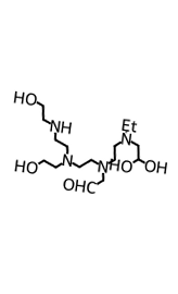 CCN(CCN(CC=O)CCN(CCO)CCNCCO)CC(O)O